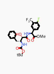 COC(=O)C(NC(=O)[C@@H](O)[C@@H](Cc1ccccc1)NC(=O)OC(C)(C)C)c1ccc(F)c(C(F)(F)F)c1